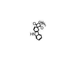 CC(=O)C1(C(C)=O)C=Cc2[nH]c3ccccc3c2C1